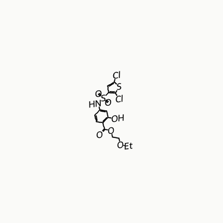 CCOCCOC(=O)c1ccc(NS(=O)(=O)c2cc(Cl)sc2Cl)cc1O